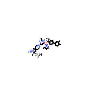 Cc1ccn(-c2cc(-c3ccc(C)c(C)c3)ccc2C(Oc2cc(N3CCC4(CC3)CN[C@H](C(=O)O)C4)nc(C)n2)C(F)(F)F)n1